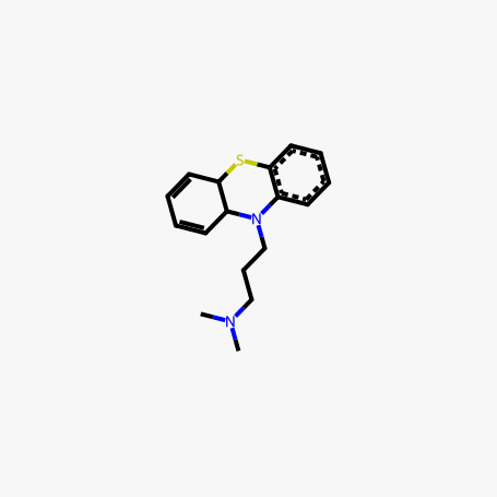 CN(C)CCCN1c2ccccc2SC2C=CC=CC21